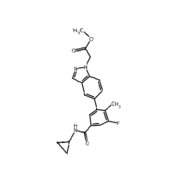 COC(=O)Cn1ncc2cc(-c3cc(C(=O)NC4CC4)cc(F)c3C)ccc21